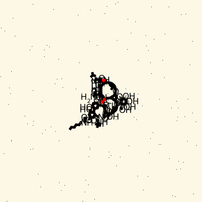 CCCCCCNC(=O)Oc1cc(O)c2c(c1)[C@@H](C(=O)NC(C)(C)C)NC(=O)[C@H]1NC(=O)[C@H](NC(=O)[C@@H]3NC(=O)[C@H](CC(N)=O)NC(=O)[C@H](NC(=O)[C@@H](CC(C)C)NC)[C@H](O)c4ccc(c(C)c4)Oc4cc3cc(c4O[C@@H]3O[C@H](CO)[C@@H](O)[C@H](O)[C@H]3O)Oc3ccc(cc3Cl)[C@H]1O)c1ccc(O)c-2c1